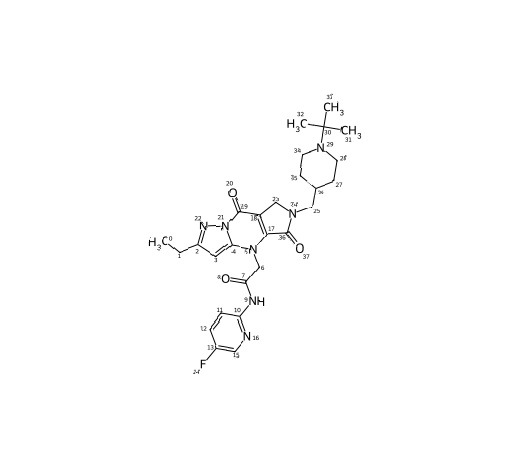 CCc1cc2n(CC(=O)Nc3ccc(F)cn3)c3c(c(=O)n2n1)CN(CC1CCN(C(C)(C)C)CC1)C3=O